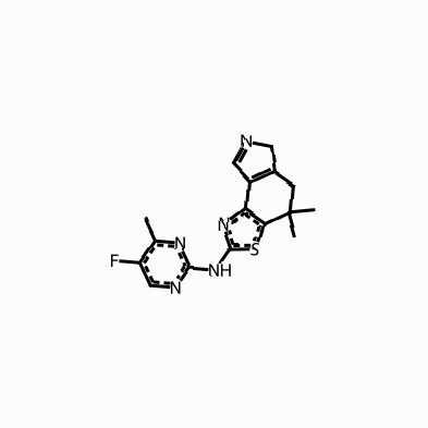 Cc1nc(Nc2nc3c(s2)C(C)(C)CC2=C3C=NC2)ncc1F